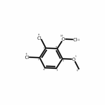 COc1ccc(Cl)c(Cl)c1OCl